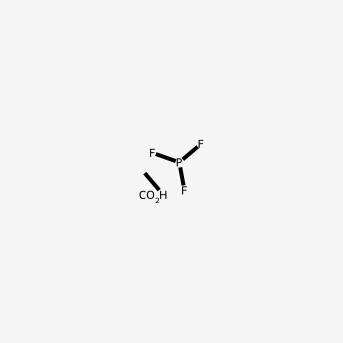 CC(=O)O.FP(F)F